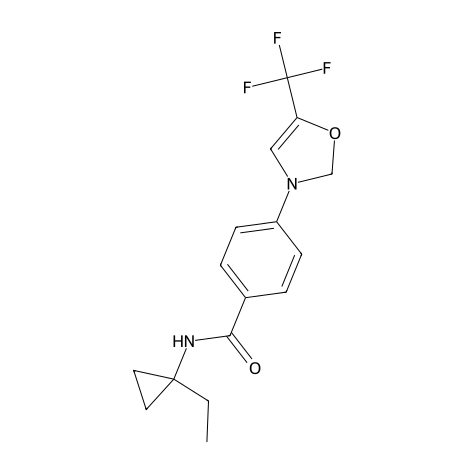 CCC1(NC(=O)c2ccc(N3C=C(C(F)(F)F)OC3)cc2)CC1